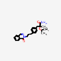 CC(C)OC(C)(Cc1ccc(CCCn2ncc3ccccc3c2=O)cc1)C(N)=O